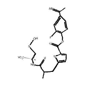 CC(=N)c1ccc(OC(=O)c2ccc(CC(C)C(=O)N[C@@H](CSO)C(=O)O)s2)c(F)c1